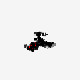 CCCC(=O)N[C@@H](Cc1cn(CCO[C@@H]2OC(C(=O)O)C(O)[C@H](O)C2O)nn1)C(=O)N[C@@H](CC(=O)O)C(=O)N[C@@H](Cc1cn(CCO[C@@H]2OC(C(=O)O)C(O)[C@H](O)C2O)nn1)C(=O)N[C@@H](CSSCCOC(=O)NNC(=O)[C@@]1(O)[C@H](O)[C@]2(CC)C=CCN3CC[C@@]4(c5cc([C@@]6(C(=O)OC)C[C@H]7CCCN(CCc8c6[nH]c6ccccc86)C7)c(OC)cc5N(C)[C@@H]14)[C@@H]32)C(=O)O